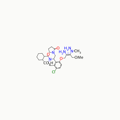 COC/C(=C(/N)COc1ccc(Cl)c2c1C(CN1CCCC1=O)N(C(=O)C1CCCCC1C(=O)O)CC2)N(C)N